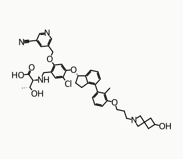 Cc1c(OCCCN2CC3(CC(O)C3)C2)cccc1-c1cccc2c1CC[C@@H]2Oc1cc(OCc2cncc(C#N)c2)c(CN[C@H](C(=O)O)[C@@H](C)O)cc1Cl